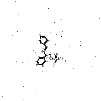 CS(=O)(=O)OC[C@H](/N=C/c1ccccc1)c1ccccc1